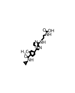 Cc1cc(-c2cnc3c(NCCCNC(=O)O)nccn23)ccc1C(=O)NC1CC1